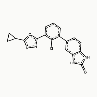 O=c1[nH]c2ccc(-c3cccc(-c4nnc(C5CC5)o4)c3Cl)cc2[nH]1